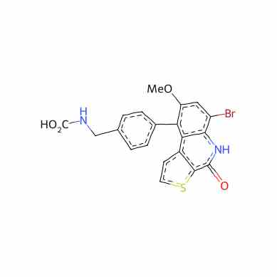 COc1cc(Br)c2[nH]c(=O)c3sccc3c2c1-c1ccc(CNC(=O)O)cc1